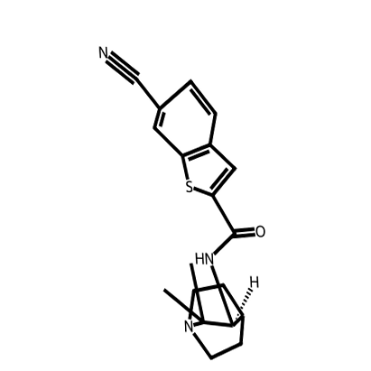 CC1(C)[C@@H](NC(=O)c2cc3ccc(C#N)cc3s2)C2CCN1CC2